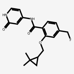 CC1(C)CC1COc1cc(CF)ccc1C(=O)Nc1cc[nH]c(=O)c1